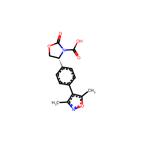 Cc1noc(C)c1-c1ccc([C@@H]2COC(=O)N2C(=O)O)cc1